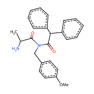 COc1ccc(CN(C(=O)C(C)N)C(=O)C(c2ccccc2)c2ccccc2)cc1